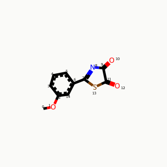 COc1cccc(C2=NC(=O)C(=O)S2)c1